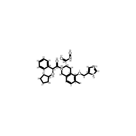 Cc1ccc2c(c1OCc1cncs1)C[C@@H](C(=O)N=O)N(C(=O)[C@@H](OC1CCCC1)c1ccccc1)C2